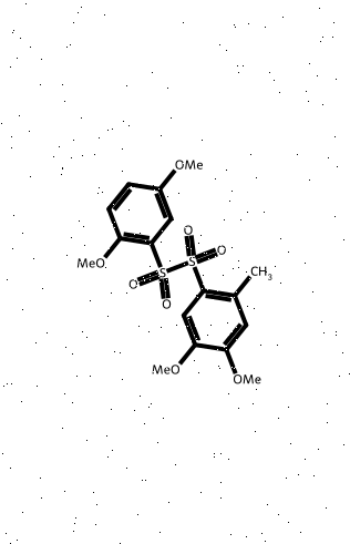 COc1ccc(OC)c(S(=O)(=O)S(=O)(=O)c2cc(OC)c(OC)cc2C)c1